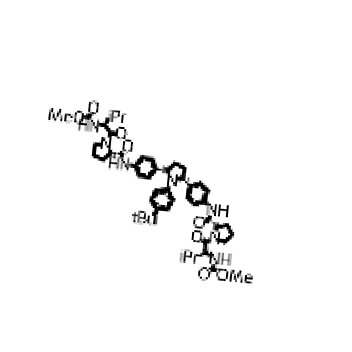 COC(=O)NC(C(=O)N1CCC[C@H]1C(=O)Nc1ccc([C@@H]2CC[C@@H](c3ccc(NC(=O)[C@@H]4CCCN4C(=O)[C@@H](NC(=O)OC)C(C)C)cc3)N2c2ccc(C(C)(C)C)cc2)cc1)C(C)C